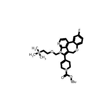 CC(C)(C)OC(=O)N1CC=C(c2c3c4c(ccnc4n2COCC[Si](C)(C)C)-c2cc(F)ccc2OC3)CC1